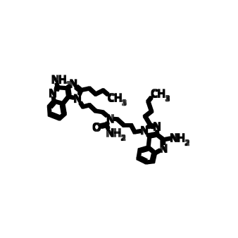 CCCCc1nc2c(N)nc3ccccc3c2n1CCCCN(CCCCn1c(CCCC)nc2c(N)nc3ccccc3c21)C(N)=O